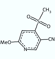 COc1cc(S(C)(=O)=O)c(C#N)cn1